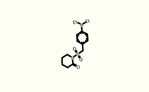 CCN(CC)c1ccc(CS(=O)(=O)N2CCCCC2=O)cc1